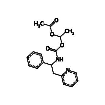 CC(=O)OC(C)OC(=O)NC(Cc1ccccn1)c1ccccc1